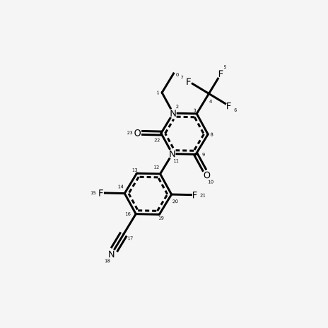 CCn1c(C(F)(F)F)cc(=O)n(-c2cc(F)c(C#N)cc2F)c1=O